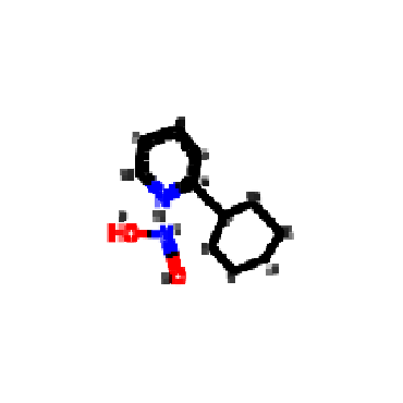 O=NO.c1ccc(C2CCCCC2)nc1